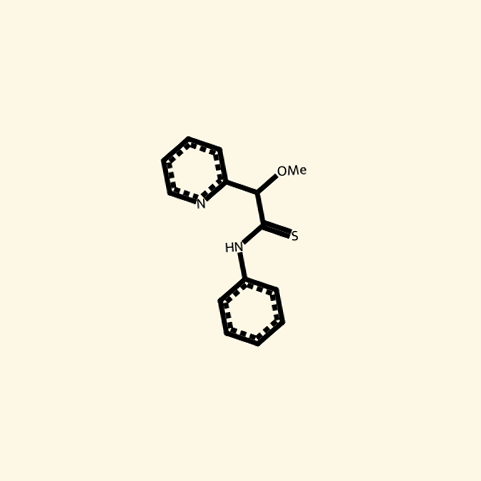 COC(C(=S)Nc1ccccc1)c1ccccn1